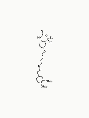 CCC1(CC)OC(=O)Nc2ccc(OCCCC=NOSc3ccc(OC)c(OC)c3)cc21